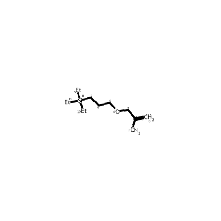 C=C(C)COCCC[Si](CC)(CC)CC